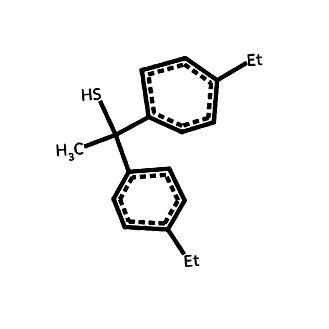 CCc1ccc(C(C)(S)c2ccc(CC)cc2)cc1